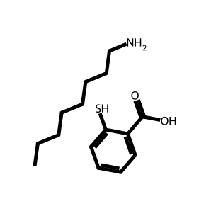 CCCCCCCCN.O=C(O)c1ccccc1S